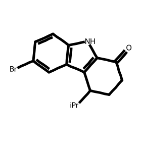 CC(C)C1CCC(=O)c2[nH]c3ccc(Br)cc3c21